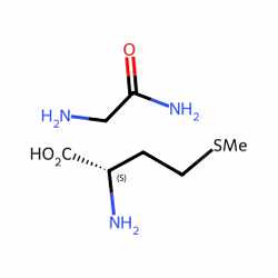 CSCC[C@H](N)C(=O)O.NCC(N)=O